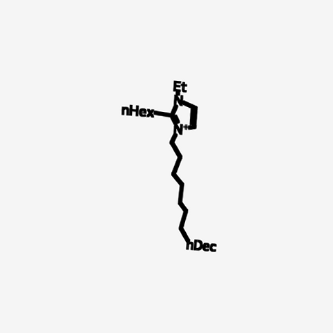 CCCCCCCCCCCCCCCCC[n+]1ccn(CC)c1CCCCCC